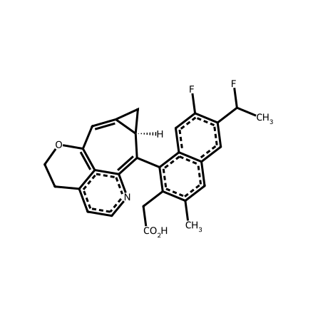 Cc1cc2cc(C(C)F)c(F)cc2c(C2=c3nccc4c3=C(C=C3C[C@H]32)OCC4)c1CC(=O)O